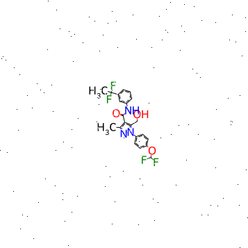 Cc1nn(-c2ccc(OC(F)F)cc2)c(CO)c1C(=O)Nc1cccc(C(C)(F)F)c1